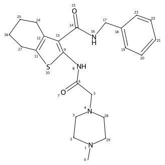 CN1CCN(CC(=O)Nc2sc3c(c2C(=O)NCc2ccccc2)CCCC3)CC1